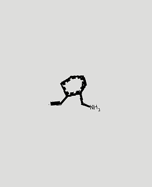 [CH]=Cc1ccccc1CN